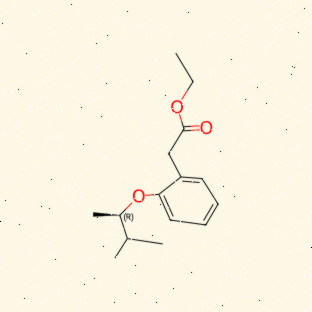 CCOC(=O)Cc1ccccc1O[C@H](C)C(C)C